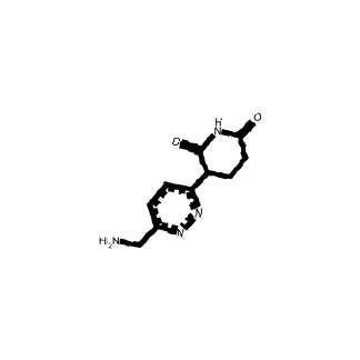 NCc1ccc(C2CCC(=O)NC2=O)nn1